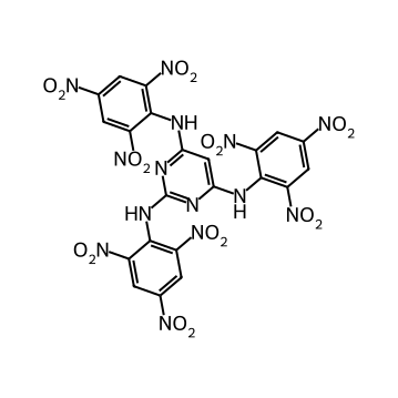 O=[N+]([O-])c1cc([N+](=O)[O-])c(Nc2cc(Nc3c([N+](=O)[O-])cc([N+](=O)[O-])cc3[N+](=O)[O-])nc(Nc3c([N+](=O)[O-])cc([N+](=O)[O-])cc3[N+](=O)[O-])n2)c([N+](=O)[O-])c1